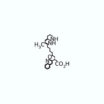 CC1=C(CCCCC(=O)C[C@@H](CC(=O)O)c2cnc3ccccc3c2)NC2NCCCC2=C1